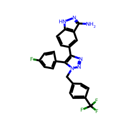 Nc1n[nH]c2ccc(-c3nnn(Cc4ccc(C(F)(F)F)cc4)c3-c3ccc(F)cc3)cc12